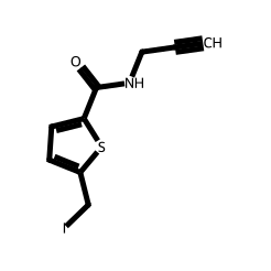 C#CCNC(=O)c1ccc(CI)s1